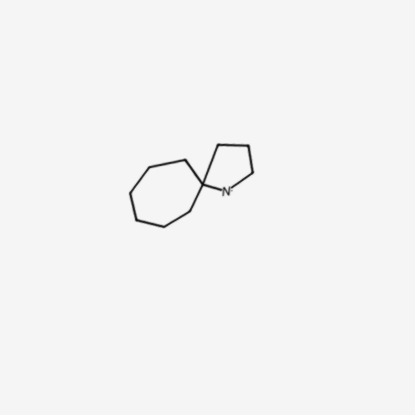 C1CCCC2(CC1)CCC[N]2